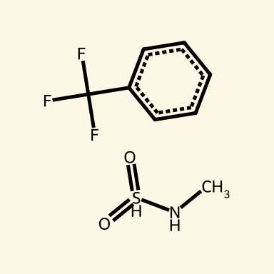 CN[SH](=O)=O.FC(F)(F)c1ccccc1